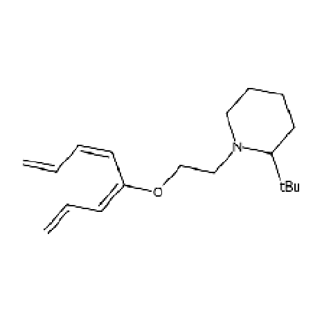 C=C/C=C\C(=C/C=C)OCCN1CCCCC1C(C)(C)C